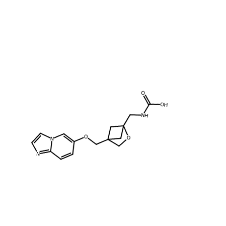 O=C(O)NCC12CC(COc3ccc4nccn4c3)(CO1)C2